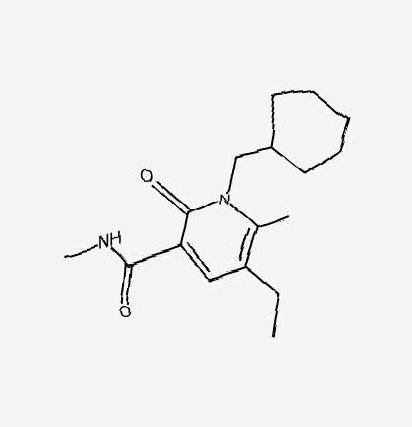 CCc1cc(C(=O)NC)c(=O)n(CC2CCCCC2)c1C